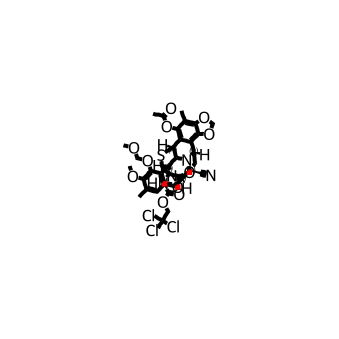 COCOc1c(OC)c(C)cc2c1[C@@H]1C3[C@@H]4SCC(NC(=O)OCC(Cl)(Cl)Cl)C(=O)OC[C@@H](c5c6c(c(C)c(OC(C)=O)c54)OCO6)N3[C@@H](C#N)[C@@H](C2)N1C